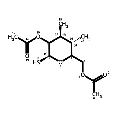 CC(=O)OCC1O[C@@H](S)C(OC(C)=O)[C@@H](C)[C@@H]1C